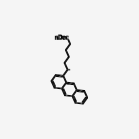 CCCCCCCCCCCCCC[CH]c1cccc2cc3ccccc3cc12